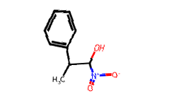 CC(c1ccccc1)C(O)[N+](=O)[O-]